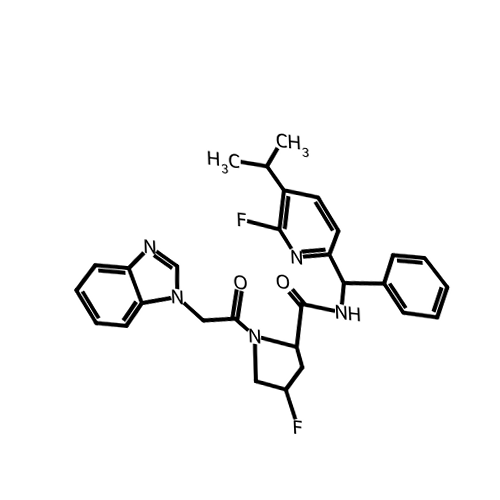 CC(C)c1ccc(C(NC(=O)C2CC(F)CN2C(=O)Cn2cnc3ccccc32)c2ccccc2)nc1F